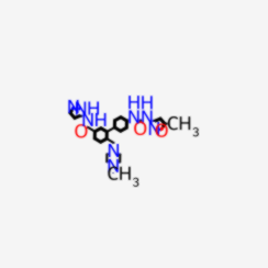 Cc1cc(NC(=O)Nc2ccc(-c3cc(C(=O)Nc4ccn[nH]4)ccc3CN3CCN(C)CC3)cc2)no1